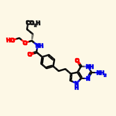 Nc1nc2[nH]cc(CCc3ccc(C(=O)N[C@@H](CCC(=O)O)OCO)cc3)c2c(=O)[nH]1